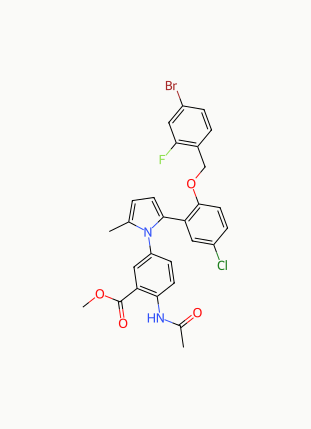 COC(=O)c1cc(-n2c(C)ccc2-c2cc(Cl)ccc2OCc2ccc(Br)cc2F)ccc1NC(C)=O